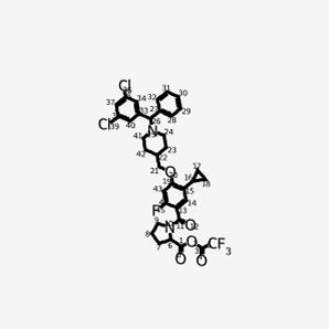 O=C(OC(=O)C(F)(F)F)C1CCCN1C(=O)c1cc(C2CC2)c(OCC2CCN(C(c3ccccc3)c3cc(Cl)cc(Cl)c3)CC2)cc1F